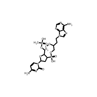 COC(CCn1cnc2c(N)ncnc21)COP(=O)(O)C1CC(n2ccc(N)nc2=O)OC1COP(C)(=O)O